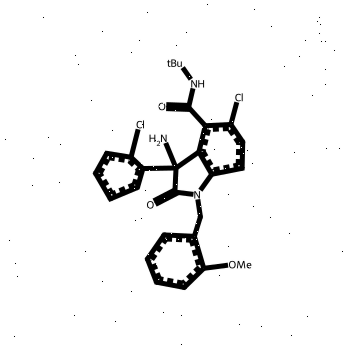 COc1ccccc1CN1C(=O)C(N)(c2ccccc2Cl)c2c1ccc(Cl)c2C(=O)NC(C)(C)C